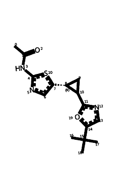 CC(=O)Nc1ncc([C@@H]2CC2c2ncc(C(C)(C)C)o2)s1